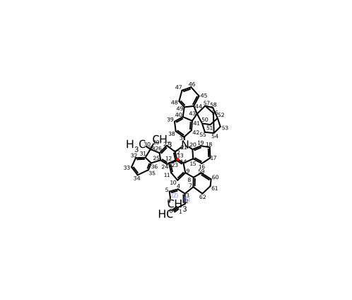 C#C/C=C(\C=C/C)C1=C(c2ccccc2-c2ccccc2N(c2ccc3c(c2)C(C)(C)c2ccccc2-3)c2ccc3c(c2)C2(c4ccccc4-3)C3CC4CC(C3)CC2C4)C=CCC1